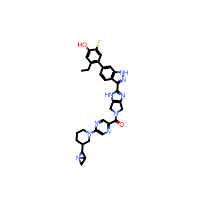 CCc1cc(O)c(F)cc1-c1ccc2c(-c3nc4c([nH]3)CN(C(=O)c3cnc(N5CCCC(C6C7CN76)C5)cn3)C4)n[nH]c2c1